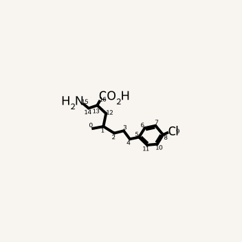 CC(CCCc1ccc(Cl)cc1)CC(CN)C(=O)O